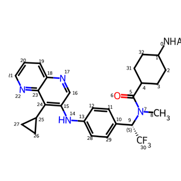 CC(=O)NC1CCC(C(=O)N(C)[C@@H](c2ccc(Nc3cnc4cccnc4c3C3CC3)cc2)C(F)(F)F)CC1